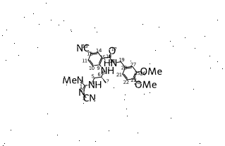 CN/C(=N/C#N)NC[C@H](C)Nc1ccc(C#N)cc1C(=O)NCc1ccc(OC)c(OC)c1